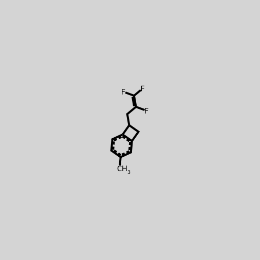 Cc1ccc2c(c1)CC2CC(F)=C(F)F